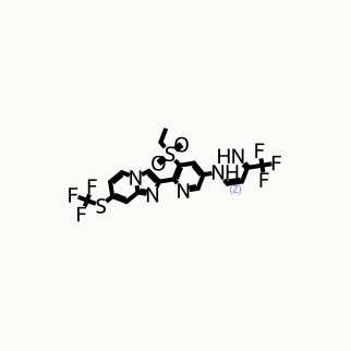 CCS(=O)(=O)c1cc(N/C=C\C(=N)C(F)(F)F)cnc1-c1cn2ccc(SC(F)(F)F)cc2n1